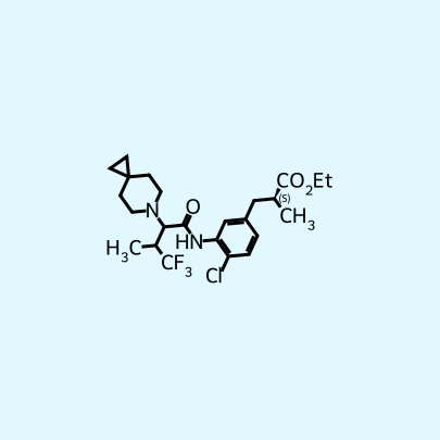 CCOC(=O)[C@@H](C)Cc1ccc(Cl)c(NC(=O)C(C(C)C(F)(F)F)N2CCC3(CC2)CC3)c1